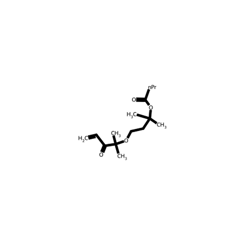 C=CC(=O)C(C)(C)OCCC(C)(C)OC(=O)CCC